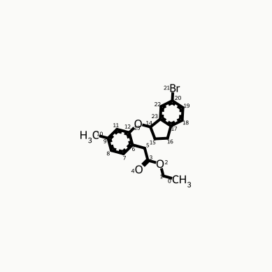 CCOC(=O)Cc1ccc(C)cc1OC1CCc2ccc(Br)cc21